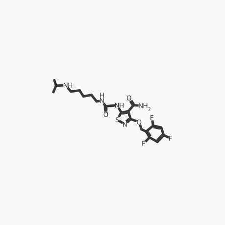 CC(C)NCCCCCNC(=O)Nc1snc(OCc2c(F)cc(F)cc2F)c1C(N)=O